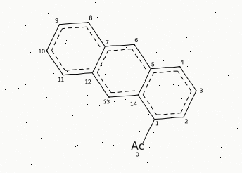 [CH2]C(=O)c1cccc2cc3ccccc3cc12